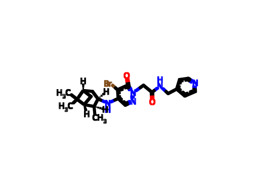 C[C@H]1[C@H]2C[C@H](C[C@H]1Nc1cnn(CC(=O)NCc3ccncc3)c(=O)c1Br)C2(C)C